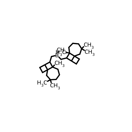 CB(CC1C2CCC23CC(C)(C)CCCC13C)CC1C2CCC23CC(C)(C)CCCC13C